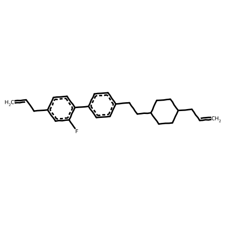 C=CCc1ccc(-c2ccc(CCC3CCC(CC=C)CC3)cc2)c(F)c1